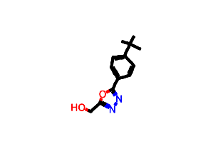 CC(C)(C)c1ccc(-c2nnc(CO)o2)cc1